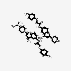 Cc1cc(N2CCNCC2)nc2ccc(NC(=O)COc3ccc(C(F)(F)F)cc3)cc12.Cc1ccc(OCC(=O)Nc2ccc3nc(N4CCC(N(C)C)CC4)cc(C)c3c2)cc1